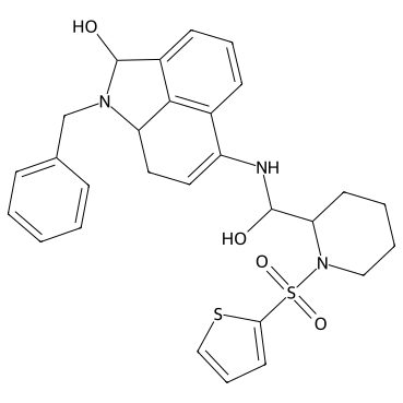 O=S(=O)(c1cccs1)N1CCCCC1C(O)NC1=CCC2c3c1cccc3C(O)N2Cc1ccccc1